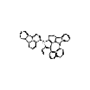 c1ccc(-n2c3ccccc3c3ccc4c(c5c6ccccc6ccc5n4-c4ccc5c6c(cccc46)-c4ccccc4-5)c32)cc1